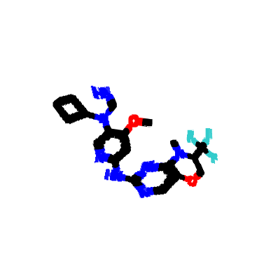 COc1cc(Nc2ncc3c(n2)N(C)C(C(F)(F)F)CO3)ncc1N(C=N)C1CCC1